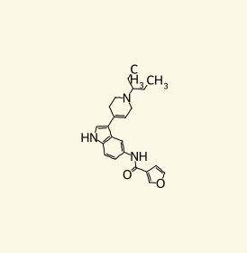 CCC(CC)N1CC=C(c2c[nH]c3ccc(NC(=O)c4ccoc4)cc23)CC1